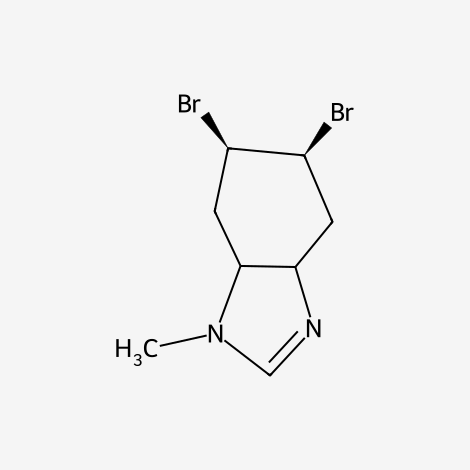 CN1C=NC2C[C@H](Br)[C@H](Br)CC21